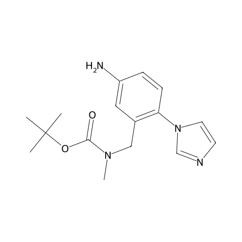 CN(Cc1cc(N)ccc1-n1ccnc1)C(=O)OC(C)(C)C